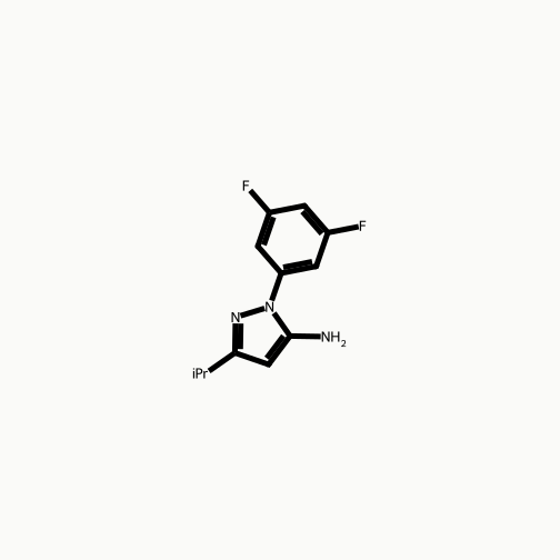 CC(C)c1cc(N)n(-c2cc(F)cc(F)c2)n1